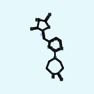 O=C1CCN(c2nccc(/C=C3\SC(=O)NC3=O)n2)CCN1